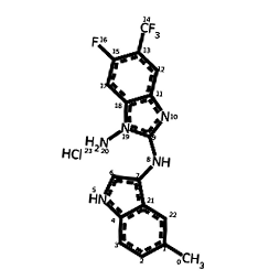 Cc1ccc2[nH]cc(Nc3nc4cc(C(F)(F)F)c(F)cc4n3N)c2c1.Cl